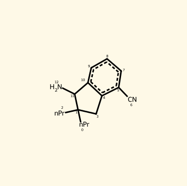 CCCC1(CCC)Cc2c(C#N)cccc2C1N